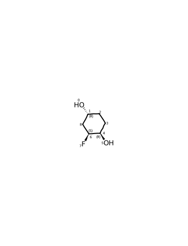 O[C@@H]1CC[C@@H](O)[C@@H](F)C1